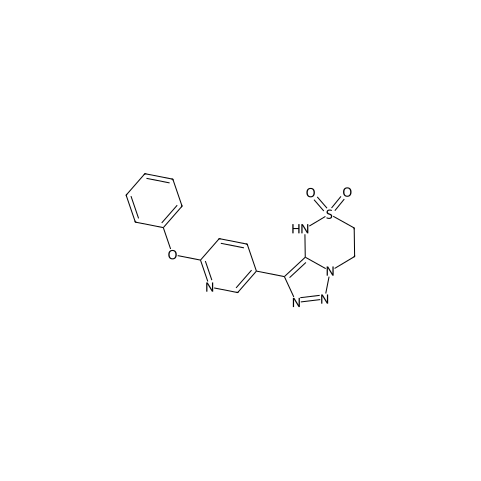 O=S1(=O)CCn2nnc(-c3ccc(Oc4ccccc4)nc3)c2N1